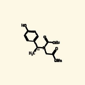 COC(=O)CN(C(=O)OCC(C)C)[C@@H](C)c1ccc(O)cc1